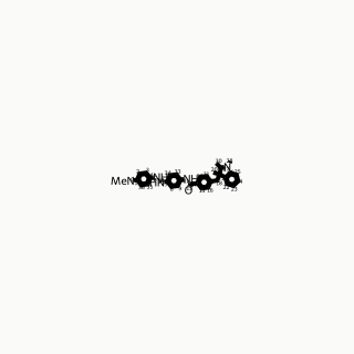 CNc1ccc(NNc2ccc(NC(=O)c3ccc(CC4(C)c5ccccc5N(C)C4C)cc3)cc2)cc1